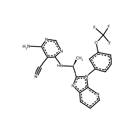 C[C@H](Nc1ncnc(N)c1C#N)c1nc2cccnc2n1-c1cccc(OC(F)(F)F)c1